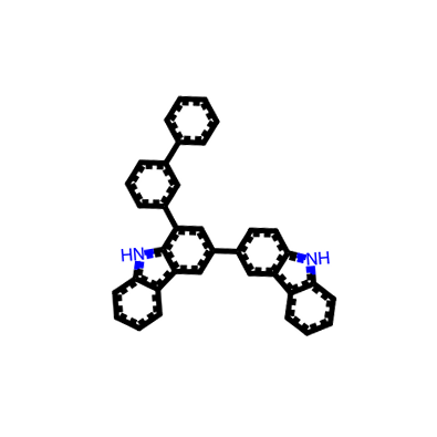 c1ccc(-c2cccc(-c3cc(-c4ccc5[nH]c6ccccc6c5c4)cc4c3[nH]c3ccccc34)c2)cc1